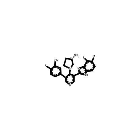 N#Cc1cc(-c2cncc(-c3nc4c(F)c(F)ccc4[nH]3)c2N2CC[C@H](N)C2)ccc1F